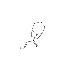 C=CC(=O)N1C2CCCC1CC2